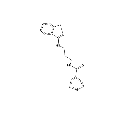 O=C(NCCCNC1=NCc2ccccc21)c1ccncc1